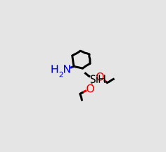 CCO[SiH](C)OCC.NC1CCCCC1